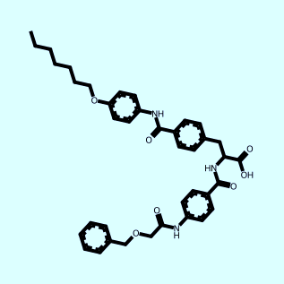 CCCCCCCOc1ccc(NC(=O)c2ccc(CC(NC(=O)c3ccc(NC(=O)COCc4ccccc4)cc3)C(=O)O)cc2)cc1